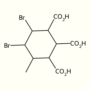 CC1C(Br)C(Br)C(C(=O)O)C(C(=O)O)C1C(=O)O